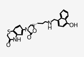 O=C1CSc2ccc(N3C[C@H](CCCNCc4ccc(O)c5ccccc45)OC3=O)cc2N1